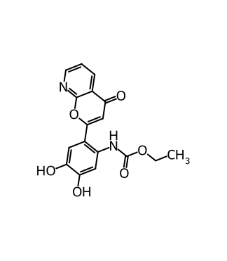 CCOC(=O)Nc1cc(O)c(O)cc1-c1cc(=O)c2cccnc2o1